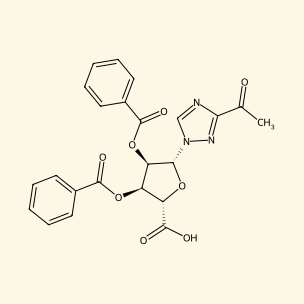 CC(=O)c1ncn([C@@H]2O[C@H](C(=O)O)[C@@H](OC(=O)c3ccccc3)[C@H]2OC(=O)c2ccccc2)n1